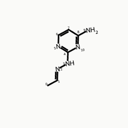 C/C=N/Nc1nccc(N)n1